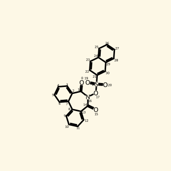 O=c1c2ccccc2c2ccccc2c(=O)n1OS(=O)(=O)c1ccc2ccccc2c1